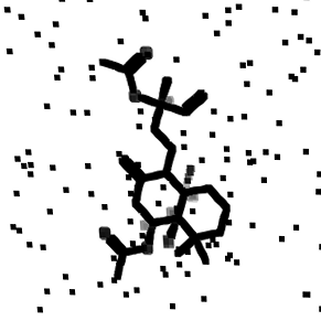 C=C[C@](C)(CCC1C(=C)C[C@H](OC(C)=O)[C@H]2C(C)(C)CCC[C@]12C)OC(C)=O